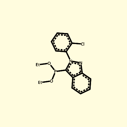 CCOP(OCC)c1c2ccccc2nn1-c1ccccc1Cl